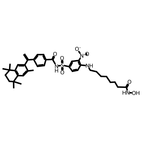 C=C(c1ccc(C(=O)NS(=O)(=O)c2ccc(NCCCCCCCC(=O)NO)c([N+](=O)[O-])c2)cc1)c1cc2c(cc1C)C(C)(C)CCC2(C)C